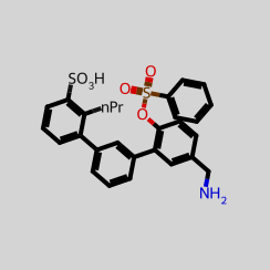 CCCc1c(-c2cccc(-c3cc(CN)ccc3OS(=O)(=O)c3ccccc3)c2)cccc1S(=O)(=O)O